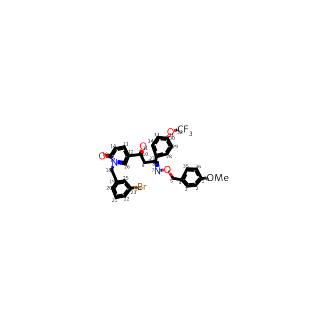 COc1ccc(CON=C(CC(=O)c2ccc(=O)n(Cc3cccc(Br)c3)c2)c2ccc(OC(F)(F)F)cc2)cc1